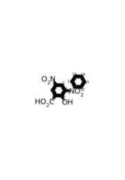 O=C(O)c1cc([N+](=O)[O-])cc([N+](=O)[O-])c1O.c1ccccc1